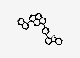 C1=Cc2oc3c(-c4ccc(-c5ccc6ccc7ccc(-c8cccc9ccccc89)c8ccc5c6c78)cc4)cccc3c2CC1